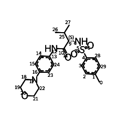 Cc1ccc(S(=O)(=O)N[C@H](C(=O)Nc2ccc(N3CCOCC3)cc2)C(C)C)cc1